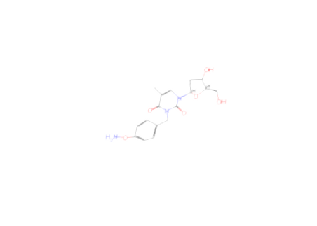 Cc1cn([C@H]2CC(O)[C@@H](CO)O2)c(=O)n(Cc2ccc(ON)cc2)c1=O